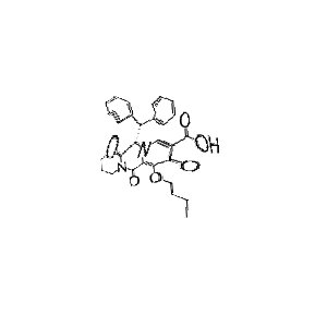 CCCCOc1c2n(cc(C(=O)O)c1=O)[C@@H](C(c1ccccc1)c1ccccc1)C1OCCCN1C2=O